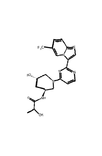 CC(O)C(=O)N[C@H]1C[C@H](O)CN(c2ccnc(-c3cnc4ccc(C(F)(F)F)cn34)n2)C1